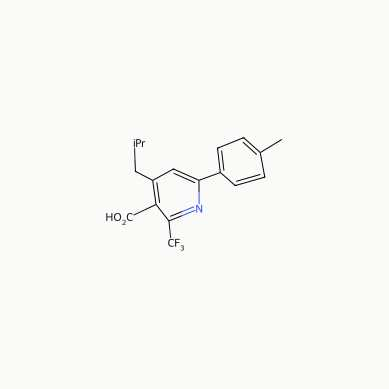 Cc1ccc(-c2cc(CC(C)C)c(C(=O)O)c(C(F)(F)F)n2)cc1